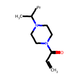 C=CC(=O)N1CCN(C(C)C(C)C)CC1